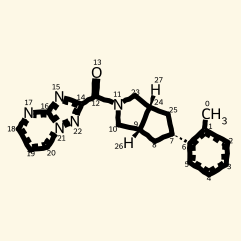 Cc1ccccc1[C@@H]1C[C@@H]2CN(C(=O)c3nc4ncccn4n3)C[C@@H]2C1